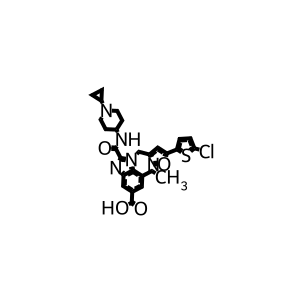 CCc1cc(C(=O)O)cc2nc(C(=O)NC3CCN(C4CC4)CC3)n(Cc3cc(-c4ccc(Cl)s4)on3)c12